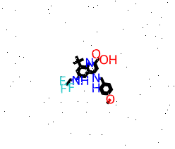 COc1ccc(CNc2cc(C(=O)O)nc3c(C(C)(C)C)cc(NCC(F)(F)F)cc23)cc1